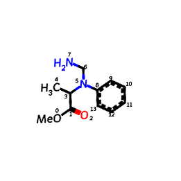 COC(=O)C(C)N(CN)c1ccccc1